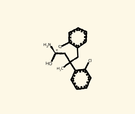 CC(Cc1ccccc1Cl)(C[C@H](N)O)c1ccccc1Cl